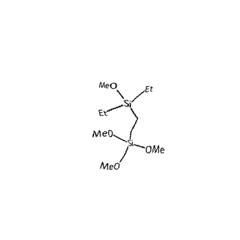 CC[Si](CC)(C[Si](OC)(OC)OC)OC